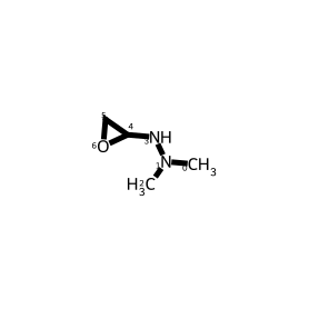 CN(C)NC1CO1